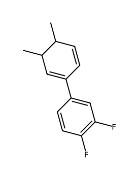 CC1C=CC(c2ccc(F)c(F)c2)=CC1C